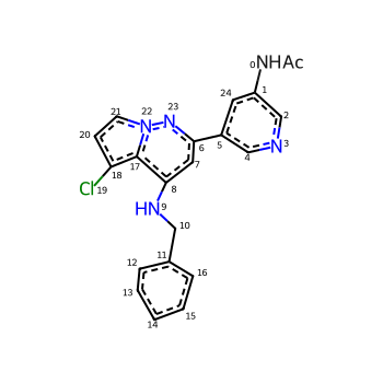 CC(=O)Nc1cncc(-c2cc(NCc3ccccc3)c3c(Cl)ccn3n2)c1